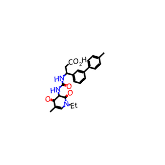 CCN1C=C(C)C(=O)C(NC(=O)NC(CC(=O)O)c2cccc(-c3ccc(C)cc3)c2)C1=O